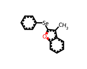 Cc1c([Se]c2ccccc2)oc2ccccc12